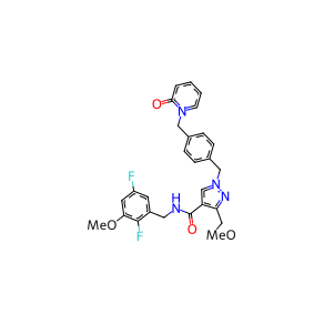 COCc1nn(Cc2ccc(Cn3ccccc3=O)cc2)cc1C(=O)NCc1cc(F)cc(OC)c1F